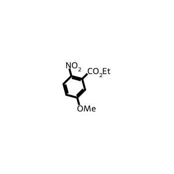 CCOC(=O)c1cc(OC)ccc1[N+](=O)[O-]